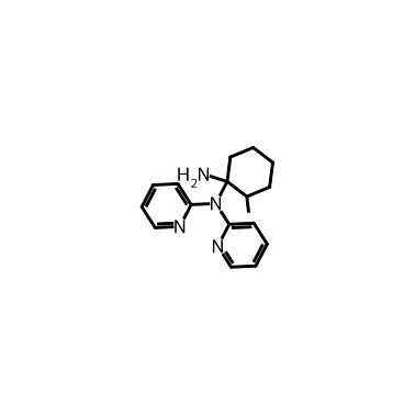 CC1CCCCC1(N)N(c1ccccn1)c1ccccn1